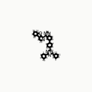 c1ccc(-c2nc(-c3ccccc3)nc(-c3ccc(-c4ccc5ncnc(-c6nccc7c6oc6ccccc67)c5c4)cc3)n2)cc1